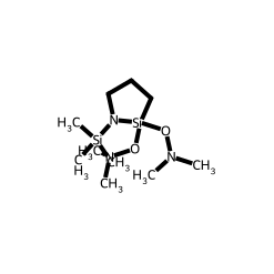 CN(C)O[Si]1(ON(C)C)CCCN1[Si](C)(C)C